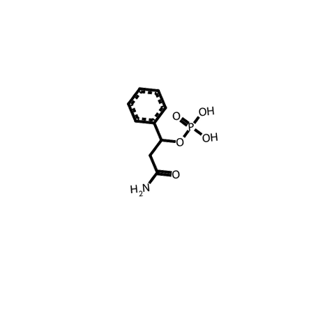 NC(=O)CC(OP(=O)(O)O)c1ccccc1